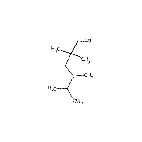 CC(C)N(C)CC(C)(C)C=O